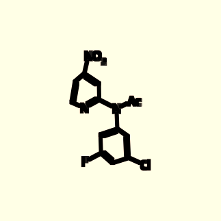 CC(=O)N(c1cc(F)cc(Cl)c1)c1cc([N+](=O)[O-])ccn1